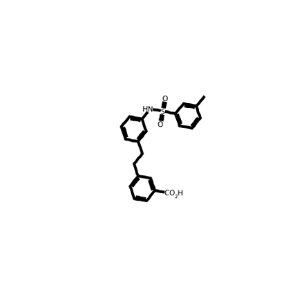 Cc1cccc(S(=O)(=O)Nc2cccc(CCc3cccc(C(=O)O)c3)c2)c1